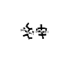 CCC(C)[Si](NC)(NC)C(C)CC.CN[Si](NC)(C(C)(C)C)C(C)(C)C